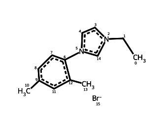 CCn1cc[n+](-c2ccc(C)cc2C)c1.[Br-]